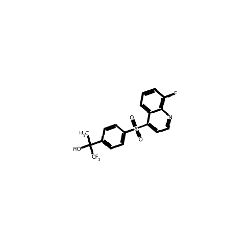 CC(O)(c1ccc(S(=O)(=O)c2ccnc3c(F)cccc23)cc1)C(F)(F)F